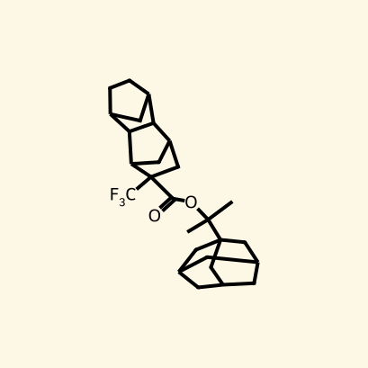 CC(C)(OC(=O)C1(C(F)(F)F)CC2CC1C1C3CCC(C3)C21)C12CC3CC(CC(C3)C1)C2